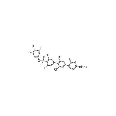 CCCCCCc1ccc(-c2cc(F)c(-c3cc(F)c(C(F)(F)Oc4cc(F)c(F)c(F)c4)c(F)c3)c(Cl)c2)c(F)c1